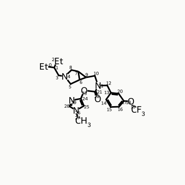 CCC(CC)CN1CC2C(C1)C2CN(Cc1cccc(OC(F)(F)F)c1)C(=O)Oc1cn(C)cn1